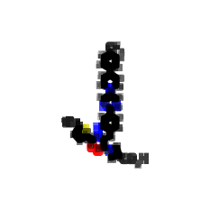 CC(C)(C)c1ccc(C(=O)N[C@@H](Cc2ccc(-c3ncc(N4CCC(c5ccc(C(F)(F)F)cc5)CC4)cn3)cc2)C(=O)N2CC(C(=O)O)C2)s1